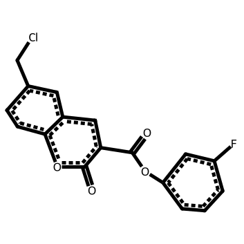 O=C(Oc1cccc(F)c1)c1cc2cc(CCl)ccc2oc1=O